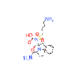 NCCCCS(=O)(=O)N(C(=O)O)C(C=O)(Cc1ccccc1)N1CCCC1CN